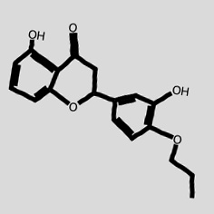 CCCOc1ccc(C2CC(=O)c3c(O)cccc3O2)cc1O